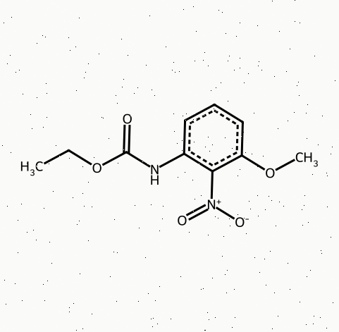 CCOC(=O)Nc1cccc(OC)c1[N+](=O)[O-]